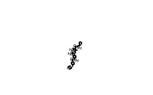 Cc1[nH]c(/C=C2\C(=O)Nc3cc(NC(=O)c4ccc(CN5CCN(C)CC5)cc4)ccc32)c(C)c1C(=O)NCCN1CCCC1